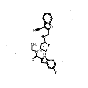 CCN(C(=O)c1cc2cc(F)ccc2[nH]1)[C@H]1CCCC(NCc2oc3ccccc3c2C#N)C1